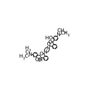 CCN(CC)c1ccc(CC(=O)c2ccccc2C(=O)N2CCN(C(=O)c3ccccc3C(=O)c3ccc(N(CC)CC)cc3O)CC2)c(O)c1